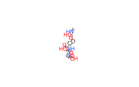 CC(C)NCC(O)COc1cccc2cc(C(N[C@@H](C)C(=O)N3CCC[C@H]3C(=O)O)C(=O)O)ccc12